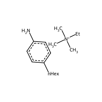 CCCCCCc1ccc(N)cc1.CC[N+](C)(C)C